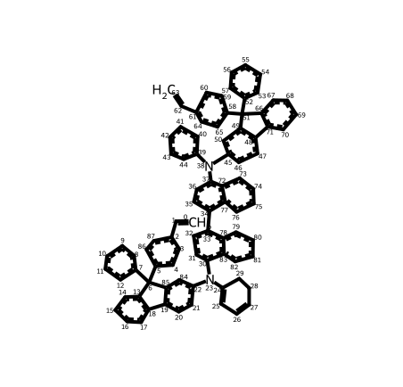 C=Cc1ccc(C2(c3ccccc3)c3ccccc3-c3ccc(N(C4=CC=CCC4)c4ccc(-c5ccc(N(c6ccccc6)c6ccc7c(c6)C(c6ccccc6)(c6ccc(C=C)cc6)c6ccccc6-7)c6ccccc56)c5ccccc45)cc32)cc1